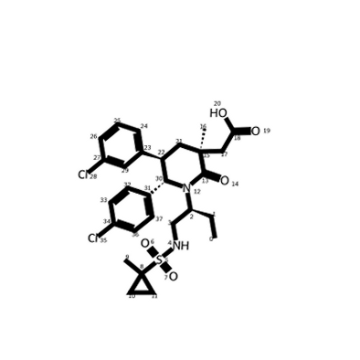 CC[C@@H](CNS(=O)(=O)C1(C)CC1)N1C(=O)[C@](C)(CC(=O)O)C[C@H](c2cccc(Cl)c2)[C@H]1c1ccc(Cl)cc1